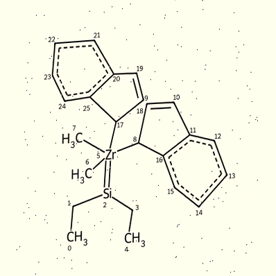 CC[Si](CC)=[Zr]([CH3])([CH3])([CH]1C=Cc2ccccc21)[CH]1C=Cc2ccccc21